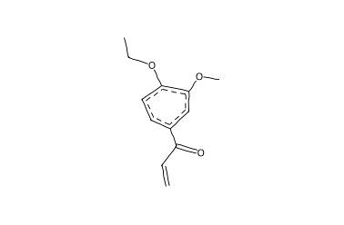 C=CC(=O)c1ccc(OCC)c(OC)c1